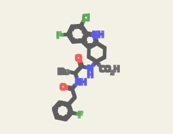 CCC(C)C(NC(=O)Cc1ccccc1F)C(=O)NC1(C(=O)O)CCc2[nH]c3c(Cl)cc(F)cc3c2C1